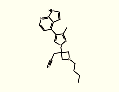 CCCCN1CC(CC#N)(n2cc(-c3ccnc4[nH]ccc34)c(C)n2)C1